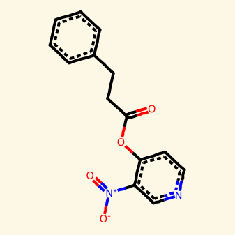 O=C(CCc1ccccc1)Oc1ccncc1[N+](=O)[O-]